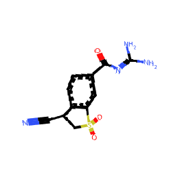 N#CC1CS(=O)(=O)c2cc(C(=O)N=C(N)N)ccc21